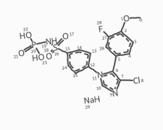 COc1ccc(-c2c(Cl)ncn2-c2ccc(S(=O)(=O)NP(=O)(O)O)cc2)cc1F.[NaH]